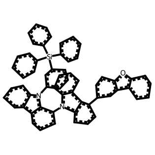 c1ccc([Si](c2ccccc2)(c2ccccc2)c2cccc(-n3c4ccccc4c4cccc(-n5c6ccccc6c6c(-c7ccc8oc9ccccc9c8c7)cccc65)c43)c2)cc1